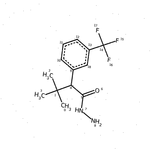 CC(C)(C)[C](C(=O)NN)c1cccc(C(F)(F)F)c1